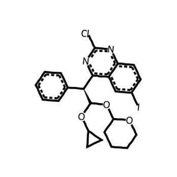 Clc1nc([C@H](c2ccccc2)C(OC2CC2)OC2CCCCO2)c2cc(I)ccc2n1